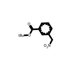 CC(C)(C)OC(=O)c1cccc(C[N+](=O)[O-])c1